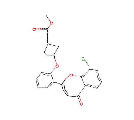 COC(=O)C1CC(Oc2ccccc2-c2cc(=O)c3cccc(Cl)c3o2)C1